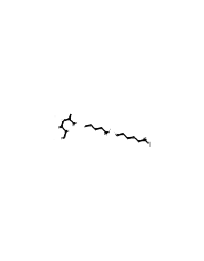 CC(C)C(=O)CCCCCNC(=O)CCCCOC1OC(CO)C(O)C(O)C1C